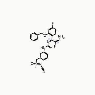 C=C(/N=C(\C(F)=C/N)c1ccc(F)cc1OCc1ccccc1)Nc1cccc(CS(C)(=O)=NC#N)c1